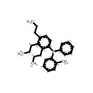 CCCc1ccc(P(c2ccccc2)c2ccccc2C)c(CCC)c1CCC